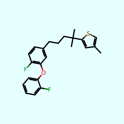 Cc1csc(C(C)(C)CCCc2ccc(F)c(Oc3ccccc3F)c2)c1